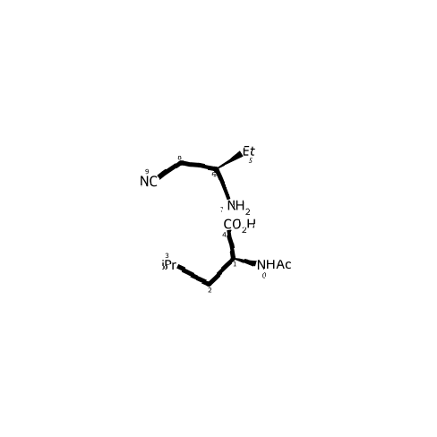 CC(=O)N[C@@H](CC(C)C)C(=O)O.CC[C@@H](N)CC#N